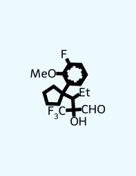 CCC(C1(c2cccc(F)c2OC)CCCC1)C(O)(C=O)C(F)(F)F